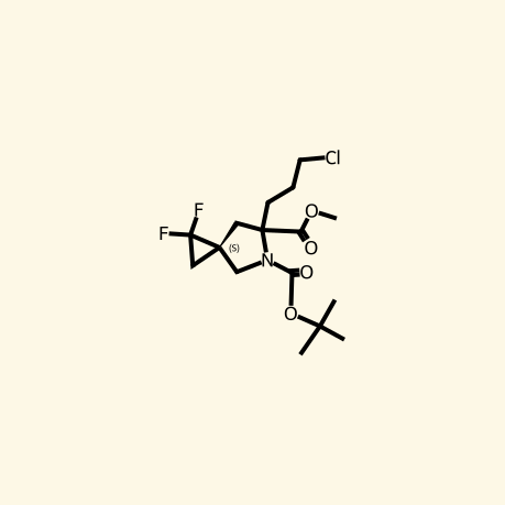 COC(=O)C1(CCCCl)C[C@@]2(CN1C(=O)OC(C)(C)C)CC2(F)F